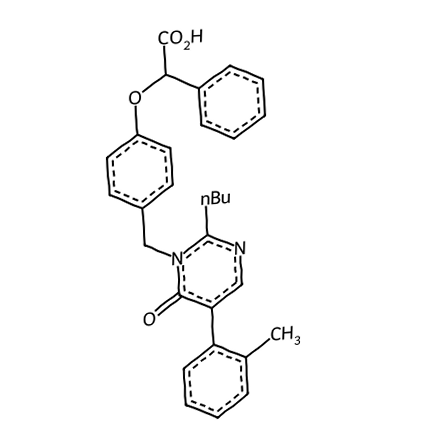 CCCCc1ncc(-c2ccccc2C)c(=O)n1Cc1ccc(OC(C(=O)O)c2ccccc2)cc1